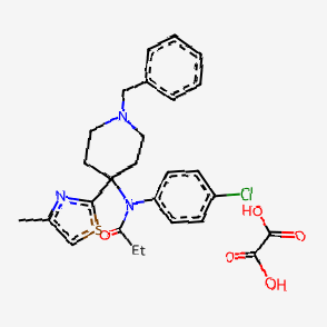 CCC(=O)N(c1ccc(Cl)cc1)C1(c2nc(C)cs2)CCN(Cc2ccccc2)CC1.O=C(O)C(=O)O